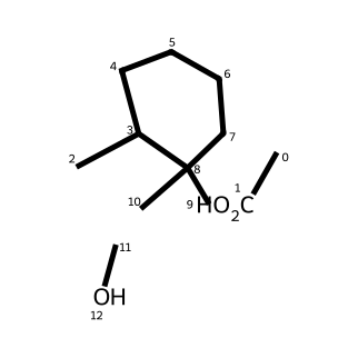 CC(=O)O.CC1CCCCC1(C)C.CO